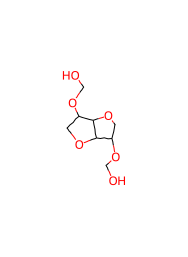 OCOC1COC2C(OCO)COC12